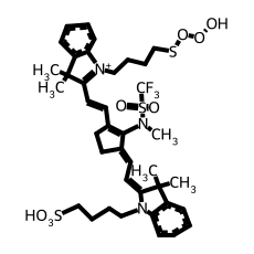 CN(C1=C(/C=C/C2=[N+](CCCCSOOO)c3ccccc3C2(C)C)CC/C1=C\C=C1\N(CCCCS(=O)(=O)O)c2ccccc2C1(C)C)S(=O)(=O)C(F)(F)F